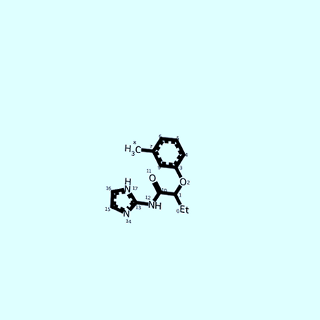 CCC(Oc1cccc(C)c1)C(=O)Nc1ncc[nH]1